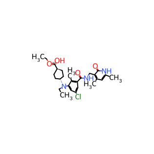 CCO[C@H](O)[C@H]1CC[C@H](N(CC)c2cc(Cl)cc(C(=O)NCc3c(C)cc(C)[nH]c3=O)c2C)CC1